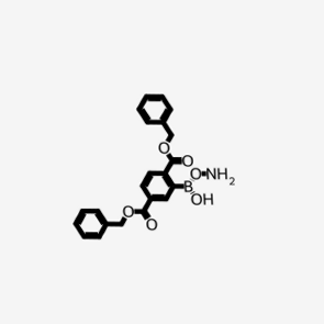 NOB(O)c1cc(C(=O)OCc2ccccc2)ccc1C(=O)OCc1ccccc1